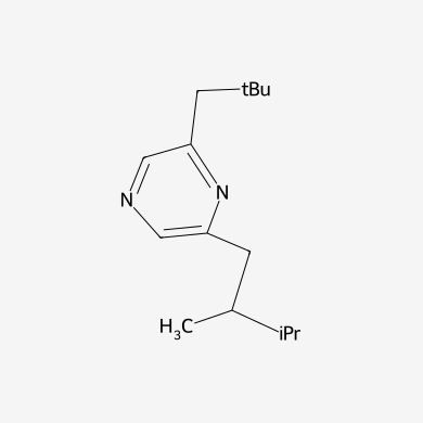 CC(C)C(C)Cc1cncc(CC(C)(C)C)n1